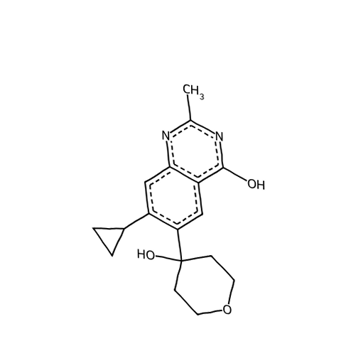 Cc1nc(O)c2cc(C3(O)CCOCC3)c(C3CC3)cc2n1